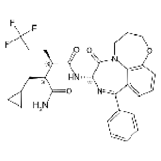 NC(=O)[C@@H](CC1CC1)[C@@H](CCC(F)(F)F)C(=O)N[C@H]1N=C(c2ccccc2)c2cccc3c2N(CCCO3)C1=O